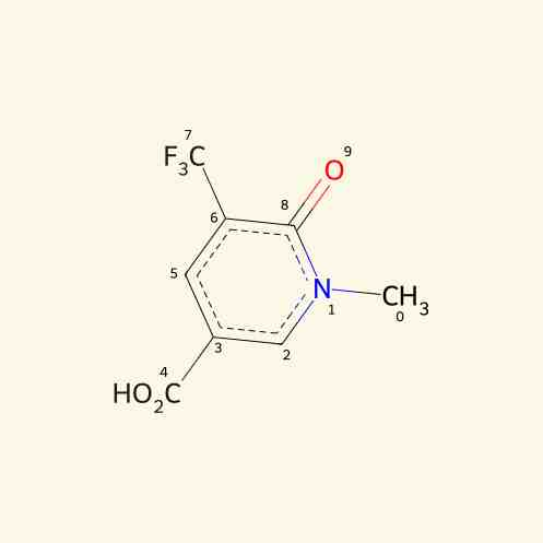 Cn1cc(C(=O)O)cc(C(F)(F)F)c1=O